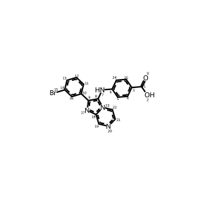 O=C(O)c1ccc(Nc2c(-c3cccc(Br)c3)nc3cnccn23)cc1